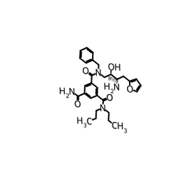 CCCN(CCC)C(=O)c1cc(C(N)=O)cc(C(=O)N(Cc2ccccc2)C[C@@H](O)[C@@H](N)Cc2ccco2)c1